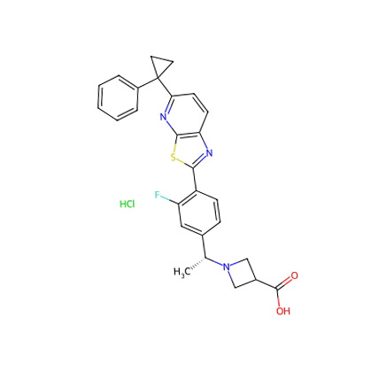 C[C@H](c1ccc(-c2nc3ccc(C4(c5ccccc5)CC4)nc3s2)c(F)c1)N1CC(C(=O)O)C1.Cl